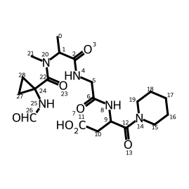 CC(C(=O)NCC(=O)NC(CC(=O)O)C(=O)N1CCCCC1)N(C)C(=O)C1(NC=O)CC1